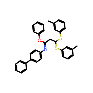 Cc1cccc(SC(CC(=Nc2ccc(-c3ccccc3)cc2)Oc2ccccc2)Sc2cccc(C)c2)c1